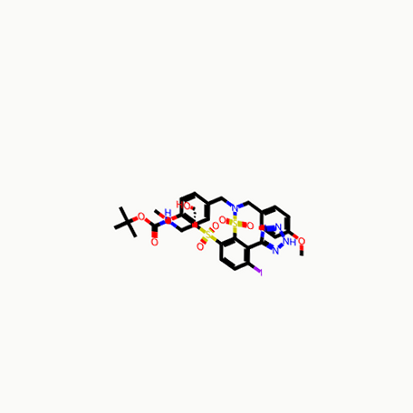 COc1ccc(CN(Cc2ccc(OC)cc2)S(=O)(=O)c2c(S(=O)(=O)[C@@H](CO)CNC(=O)OC(C)(C)C)ccc(I)c2-c2nn[nH]n2)cc1